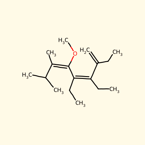 C=C(CC)/C(CC)=C(CC)\C(OC)=C(\C)C(C)C